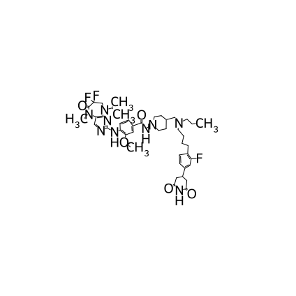 CCCN(CCCCc1ccc(C2CC(=O)NC(=O)C2)cc1F)CC1CCN(NC(=O)c2ccc(Nc3ncc4c(n3)N(C(C)C)CC(F)(F)C(=O)N4C)c(OC)c2)CC1